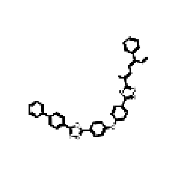 C=C/C(=C\C=C(/C)c1nnc(-c2ccc(Oc3ccc(-c4nnc(-c5ccc(-c6ccccc6)cc5)o4)cc3)cc2)o1)c1ccccc1